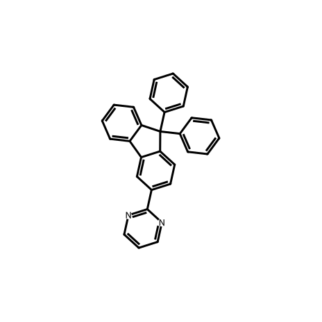 c1ccc(C2(c3ccccc3)c3ccccc3-c3cc(-c4ncccn4)ccc32)cc1